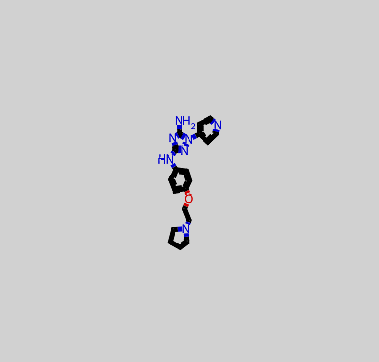 Nc1nc(Nc2ccc(OCCN3CCCC3)cc2)nn1-c1ccncc1